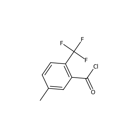 Cc1ccc(C(F)(F)F)c(C(=O)Cl)c1